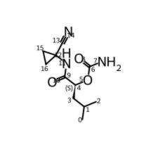 CC(C)C[C@H](OC(N)=O)C(=O)NC1(C#N)CC1